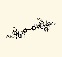 COC(=O)N[C@H](C(=O)N1CCN(C(C)=O)C[C@H]1c1ncc(-c2ccc(C#Cc3ccc4nc([C@@H]5CCCN5C(=O)[C@@H](NC(=O)OC)C5CCOCC5)[nH]c4c3)cc2)[nH]1)C1CCOCC1